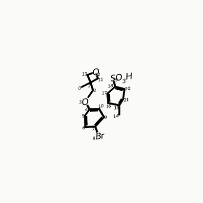 CC1(COc2ccc(Br)cc2)COC1.Cc1ccc(S(=O)(=O)O)cc1